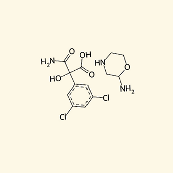 NC(=O)C(O)(C(=O)O)c1cc(Cl)cc(Cl)c1.NC1CNCCO1